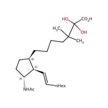 CCCCCCC=C[C@@H]1[C@H](CCCCC(C)(C)C(O)(O)C(=O)O)CC[C@H]1NC(C)=O